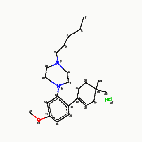 CCCCCN1CCN(c2cc(OC)ccc2C2=CCC(C)(C)CC2)CC1.Cl